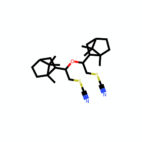 CC1(C)C2CCC1(C)C(C(CSC#N)OC(CSC#N)C1CC3CCC1(C)C3(C)C)C2